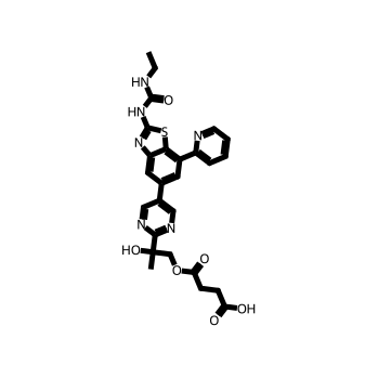 CCNC(=O)Nc1nc2cc(-c3cnc(C(C)(O)COC(=O)CCC(=O)O)nc3)cc(-c3ccccn3)c2s1